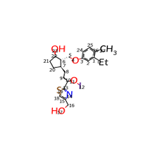 CCc1cc(OC[C@@H]2[C@@H](CC[C@@H](OI)c3nc(CO)cs3)CC[C@H]2O)ccc1C